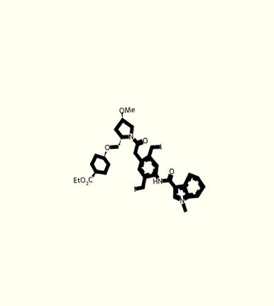 CCOC(=O)[C@H]1CC[C@H](OC[C@@H]2C[C@H](OC)CN2C(=O)Cc2cc(CI)c(NC(=O)c3cn(C)c4ccccc34)cc2CI)CC1